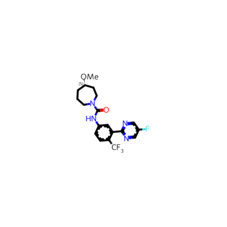 CO[C@H]1CCCN(C(=O)Nc2ccc(C(F)(F)F)c(-c3ncc(F)cn3)c2)CC1